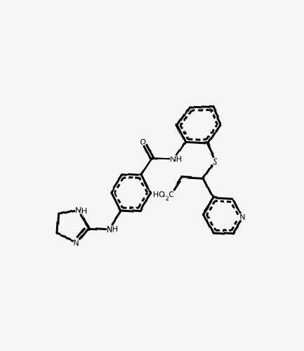 O=C(O)CC(Sc1ccccc1NC(=O)c1ccc(NC2=NCCN2)cc1)c1cccnc1